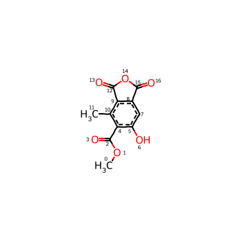 COC(=O)c1c(O)cc2c(c1C)C(=O)OC2=O